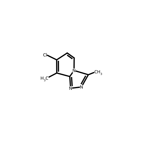 Cc1c(Cl)ccn2c(C)nnc12